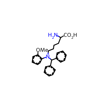 COc1ccccc1N(CCCCC(N)C(=O)O)C(c1ccccc1)c1ccccc1